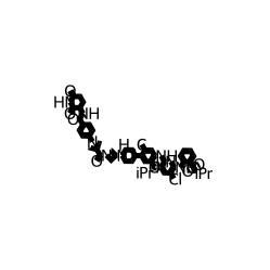 Cc1cc(Nc2ncc(Cl)c(Nc3ccccc3S(=O)(=O)C(C)C)n2)c(OC(C)C)cc1C1CCN(C2CN(C(=O)C3CN(c4ccc(C(=O)NC5CCC(=O)NC5=O)cc4)C3)C2)CC1